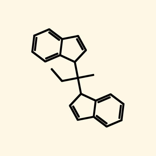 CCC(C)(C1C=Cc2ccccc21)C1C=Cc2ccccc21